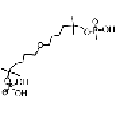 CC(C)(CCCCOCCCCC(C)(C)OP(=O)(O)O)COP(C)(=O)O